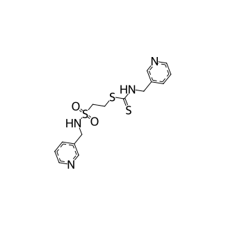 O=S(=O)(CCSC(=S)NCc1cccnc1)NCc1cccnc1